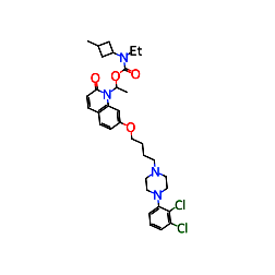 CCN(C(=O)OC(C)n1c(=O)ccc2ccc(OCCCCN3CCN(c4cccc(Cl)c4Cl)CC3)cc21)C1CC(C)C1